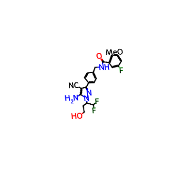 COc1ccc(F)cc1C(=O)NCc1ccc(-c2nn(C(CCO)C(F)F)c(N)c2C#N)cc1